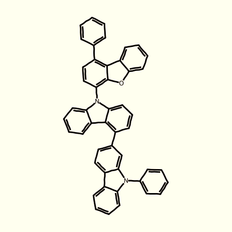 c1ccc(-c2ccc(-n3c4ccccc4c4c(-c5ccc6c7ccccc7n(-c7ccccc7)c6c5)cccc43)c3oc4ccccc4c23)cc1